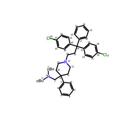 CCCCN(CCCC)CC1(c2ccccc2)CCN(CCC(c2ccccc2)(c2ccc(Cl)cc2)c2ccc(Cl)cc2)CC1